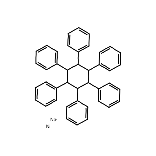 [Na].[Ni].c1ccc(C2C(c3ccccc3)C(c3ccccc3)C(c3ccccc3)C(c3ccccc3)C2c2ccccc2)cc1